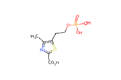 Cc1nc(C(=O)O)sc1CCOP(=O)(O)O